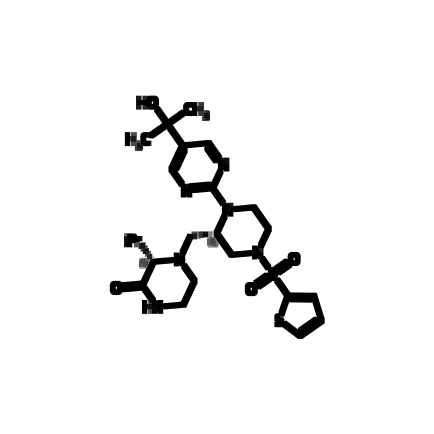 CC(C)[C@H]1C(=O)NCCN1C[C@H]1CN(S(=O)(=O)c2cccs2)CCN1c1ncc(C(C)(C)O)cn1